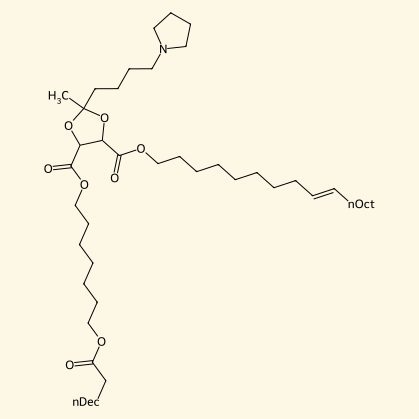 CCCCCCCCC=CCCCCCCCCOC(=O)C1OC(C)(CCCCN2CCCC2)OC1C(=O)OCCCCCCCOC(=O)CCCCCCCCCCC